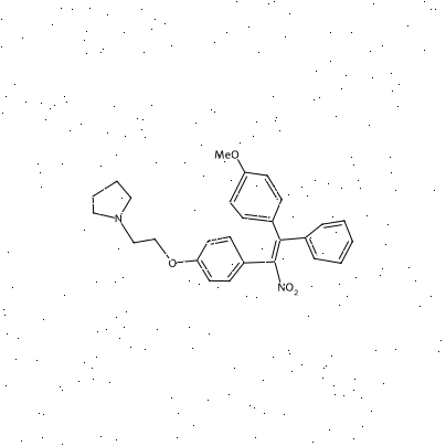 COc1ccc(C(=C(c2ccc(OCCN3CCCC3)cc2)[N+](=O)[O-])c2ccccc2)cc1